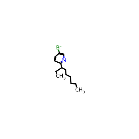 CCCCCCC(CC)c1ccc(Br)cn1